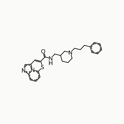 O=C(NCC1CCCN(CCCc2ccccc2)C1)C1=Cc2cnc3cccc(n23)S1